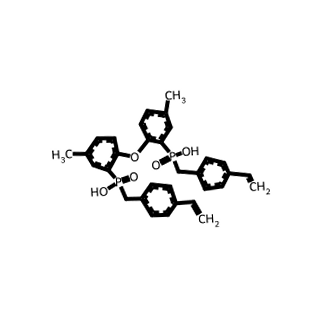 C=Cc1ccc(CP(=O)(O)c2cc(C)ccc2Oc2ccc(C)cc2P(=O)(O)Cc2ccc(C=C)cc2)cc1